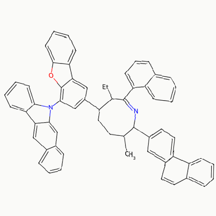 CCC1/C(c2cccc3ccccc23)=N\C(c2ccc3c(ccc4ccccc43)c2)C(C)CCC1c1cc(-n2c3ccccc3c3cc4ccccc4cc32)c2oc3ccccc3c2c1